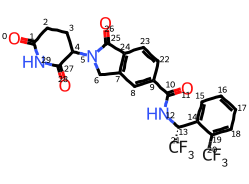 O=C1CCC(N2Cc3cc(C(=O)N[C@H](c4ccccc4C(F)(F)F)C(F)(F)F)ccc3C2=O)C(=O)N1